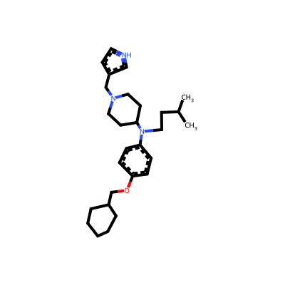 CC(C)CCN(c1ccc(OCC2CCCCC2)cc1)C1CCN(Cc2cc[nH]c2)CC1